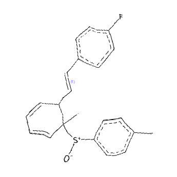 Cc1ccc([S+]([O-])C2(C)C=CC=CC2/C=C/c2ccc(F)cc2)cc1